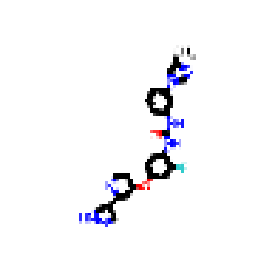 Cc1cn(-c2cccc(NC(=O)Nc3ccc(Oc4ccnc(-c5cn[nH]c5)c4)cc3F)c2)cn1